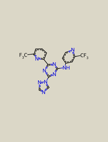 FC(F)(F)c1cc(Nc2nc(-c3cccc(C(F)(F)F)n3)nc(-n3cncn3)n2)ccn1